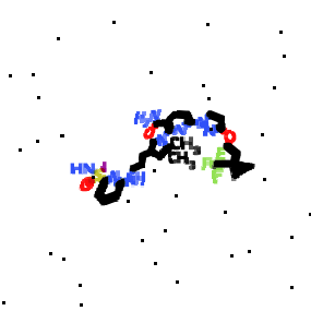 CC1(C)CC(CCCNc2cccc(S(=N)(=O)I)n2)CN1c1nc(-n2ccc(OCCC3(C(F)(F)F)CC3)n2)ccc1C(N)=O